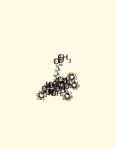 COC(=O)CCCCCCCCO[C@@H]1O[C@@H]2COC(c3ccccc3)O[C@@H]2[C@H](O)[C@H]1O[C@@H]1O[C@@H](C)[C@@H](OCc2ccccc2)[C@@H](OCc2ccccc2)[C@@H]1OCc1ccccc1